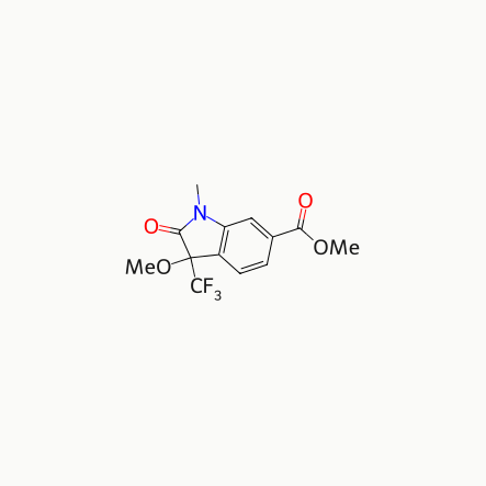 COC(=O)c1ccc2c(c1)N(C)C(=O)C2(OC)C(F)(F)F